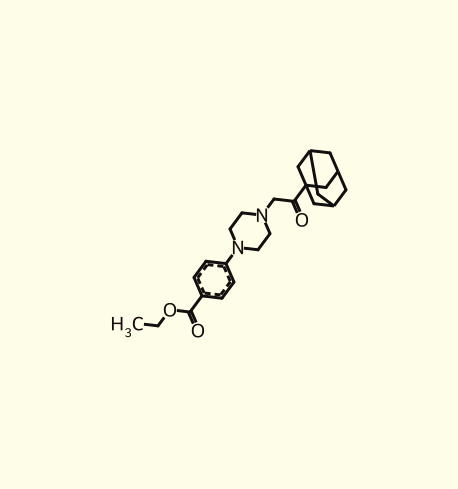 CCOC(=O)c1ccc(N2CCN(CC(=O)C34CC5CC(CC(C5)C3)C4)CC2)cc1